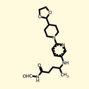 CC(CCC(=O)NC=O)Nc1ccc(N2CCC(C3OCCO3)CC2)nc1